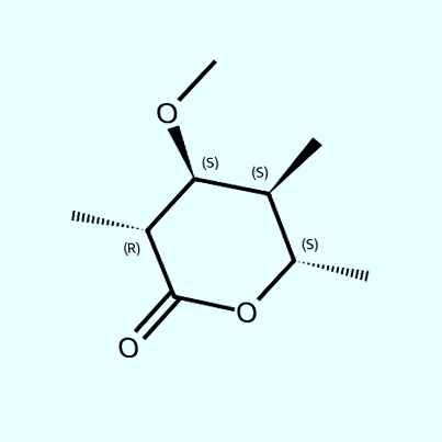 CO[C@H]1[C@@H](C)[C@H](C)OC(=O)[C@@H]1C